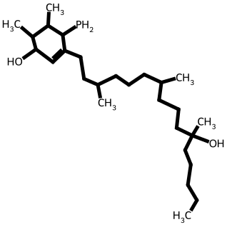 CCCCCC(C)(O)CCCC(C)CCCC(C)CCC1=CC(O)C(C)C(C)C1P